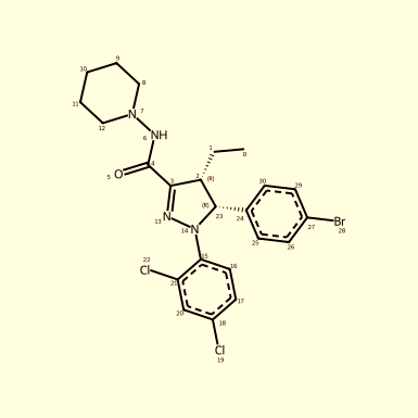 CC[C@H]1C(C(=O)NN2CCCCC2)=NN(c2ccc(Cl)cc2Cl)[C@H]1c1ccc(Br)cc1